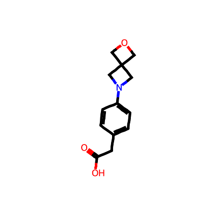 O=C(O)Cc1ccc(N2CC3(COC3)C2)cc1